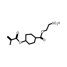 C=C(C)C(=O)OC1CCC(C(=O)OCCS(=O)(=O)O)CC1